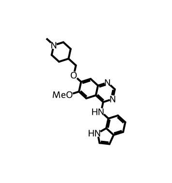 COc1cc2c(Nc3cccc4cc[nH]c34)ncnc2cc1OCC1CCN(C)CC1